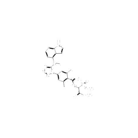 COC(=O)C(NC(=O)c1c(C)cc(-n2nnnc2N(C)c2cccc3[nH]ccc23)cc1C)P(=O)(OC)OC